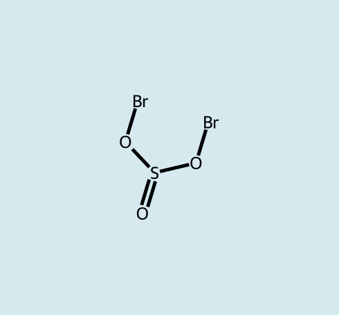 O=S(OBr)OBr